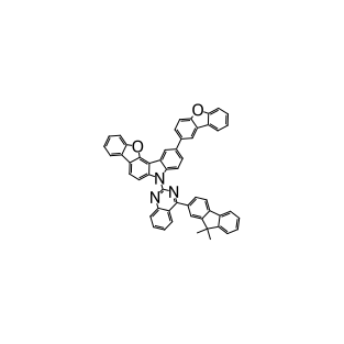 CC1(C)c2ccccc2-c2ccc(-c3nc(-n4c5ccc(-c6ccc7oc8ccccc8c7c6)cc5c5c6oc7ccccc7c6ccc54)nc4ccccc34)cc21